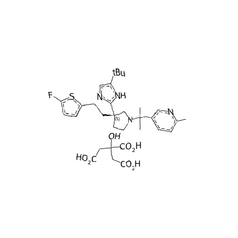 Cc1ccc(C(C)(C)N2CC[C@](CCc3ccc(F)s3)(c3ncc(C(C)(C)C)[nH]3)C2)cn1.O=C(O)CC(O)(CC(=O)O)C(=O)O